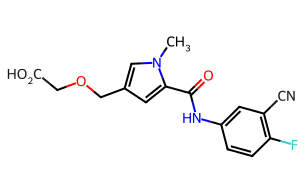 Cn1cc(COCC(=O)O)cc1C(=O)Nc1ccc(F)c(C#N)c1